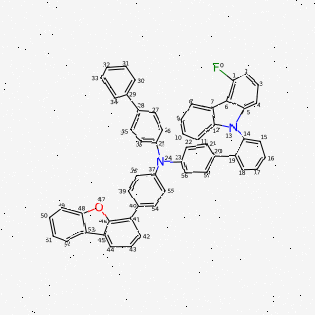 Fc1cccc2c1c1ccccc1n2-c1ccccc1-c1ccc(N(c2ccc(-c3ccccc3)cc2)c2ccc(-c3cccc4c3oc3ccccc34)cc2)cc1